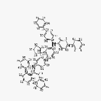 c1ccc(-c2ccc(N(c3ccc(-c4ccccc4)cc3)c3ccc4c(c3)C3(CCCC3)c3cc(N(c5ccccc5)c5cc6ccccc6c6ccccc56)ccc3-4)cc2)cc1